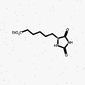 CCOC(=O)CCCCCn1[nH]c(=O)[nH]c1=O